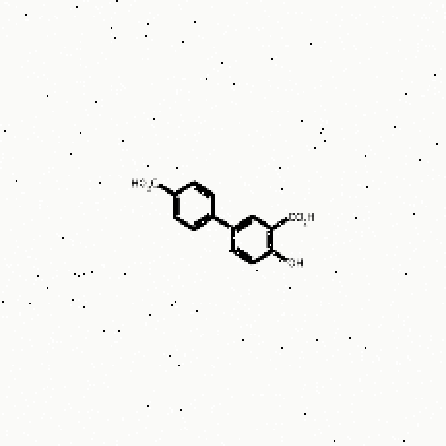 O=C(O)c1ccc(-c2ccc(O)c(C(=O)O)c2)cc1